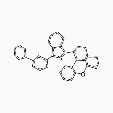 c1ccc(-c2cccc(-c3sc(-c4ccc5cccc6c5c4-c4ccccc4O6)c4ccccc34)c2)cc1